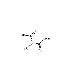 CC(=O)NC(=O)N(C)C([NH])=O